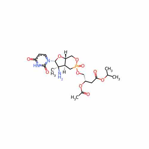 CC(=O)O[C@H](COP1(=O)C[C@@H]2[C@@H](CO1)O[C@@H](n1ccc(=O)[nH]c1=O)[C@]2(C)N)CC(=O)OC(C)C